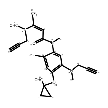 C#CCN(C=O)/C(=C\C(=O)N(C)c1cc(N(C)CC#C)c(OC2(C=O)CC2)cc1F)C(F)(F)F